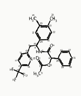 CC(=O)OC(C(=O)N[C@@H](Cc1ccc(C(F)(F)F)cn1)c1ccc(C)c(C)c1)c1ccccc1